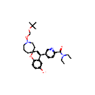 CCN(CC)C(=O)c1ccc(C2=CC3(CCCN(OCOC(C)(C)C)CC3)Oc3ccc(O)cc32)cn1